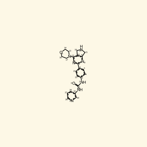 O=C(Nc1ccc(-c2nc3c(c(N4CCOCC4)n2)CNC3)cc1)Nc1cccnc1